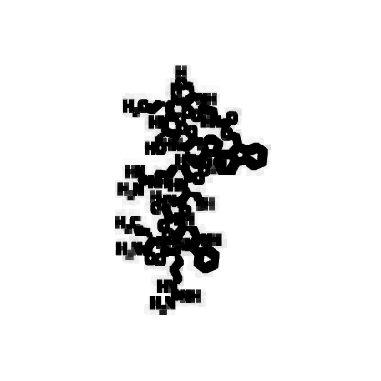 C=CC[C@H](NC(=O)[C@H](CCCNC(=N)N)NC(=O)[C@H](Cc1cc2ccccc2[nH]1)NC(=O)[C@H](C)NC(=O)[C@H](CS)NC(=O)[C@H](CCCNC(=N)N)NC(=O)C1CCCN1C(=O)[C@H](CC(=O)O)NC(=O)[C@H](CO)NC(=O)[C@H](CC=C)NC(=O)[C@H](CO)NC(=O)CNC(=O)OCC1c2ccccc2-c2ccccc21)C(N)=O